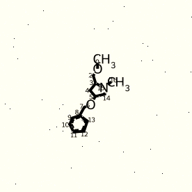 COCC1CC(OCc2ccccc2)CN1C